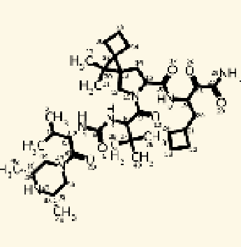 CC(C)[C@H](NC(=O)NC(C(=O)N1CC2(CC1C(=O)NC(CC1CCC1)C(=O)C(N)=O)C(C)(C)C21CCC1)C(C)(C)C)C(=O)N1C[C@@H](C)N[C@@H](C)C1